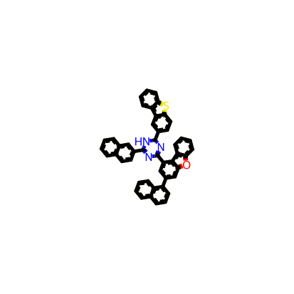 c1ccc2cc(C3=NC(c4cc(-c5cccc6ccccc56)cc5oc6ccccc6c45)=NC(c4ccc5sc6ccccc6c5c4)N3)ccc2c1